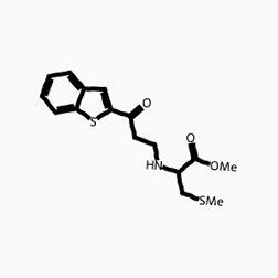 COC(=O)C(CSC)NCCC(=O)c1cc2ccccc2s1